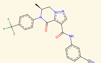 C[C@H]1Cn2ncc(C(=O)Nc3cccc(C#N)c3)c2C(=O)N1c1ccc(C(F)(F)F)cc1